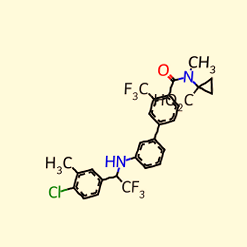 Cc1cc(C(Nc2cccc(-c3ccc(C(=O)N(C)C4(C(=O)O)CC4)c(C(F)(F)F)c3)c2)C(F)(F)F)ccc1Cl